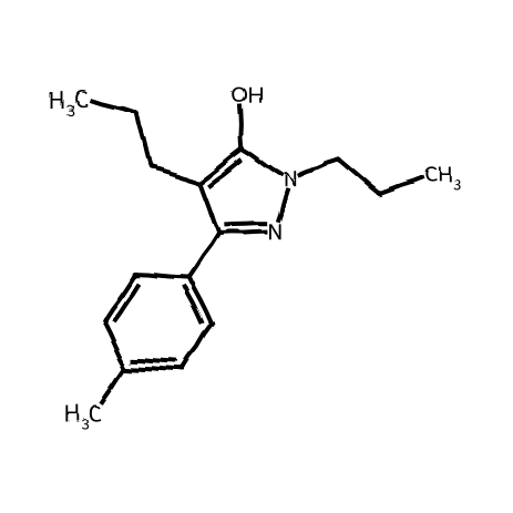 CCCc1c(-c2ccc(C)cc2)nn(CCC)c1O